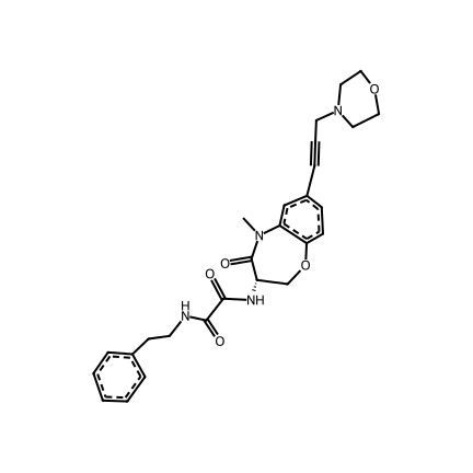 CN1C(=O)[C@@H](NC(=O)C(=O)NCCc2ccccc2)COc2ccc(C#CCN3CCOCC3)cc21